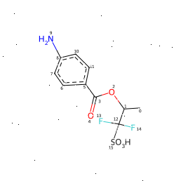 CC(OC(=O)c1ccc(N)cc1)C(F)(F)S(=O)(=O)O